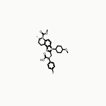 COC(=O)N1c2ccc3c(nc(C[C@H](C(=O)O)c4ccc(F)cc4)n3C3CCC(OC)CC3)c2CC[C@@H]1C